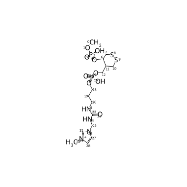 COP(=O)(O)OC1CSSCC1COP(=O)(O)OCCCNC(=O)NCn1cc[n+](C)c1